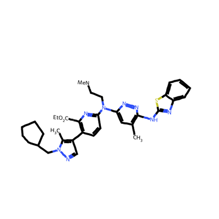 CCOC(=O)c1nc(N(CCNC)c2cc(C)c(Nc3nc4ccccc4s3)nn2)ccc1-c1cnn(CC2CCCCC2)c1C